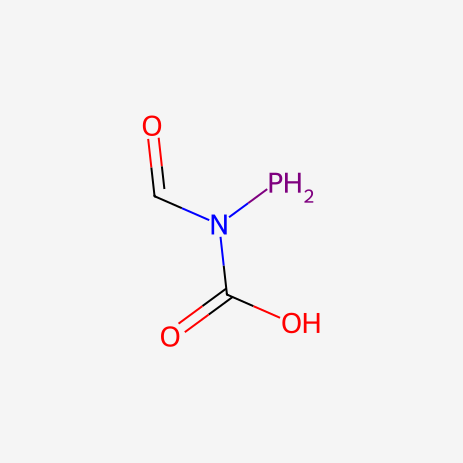 O=CN(P)C(=O)O